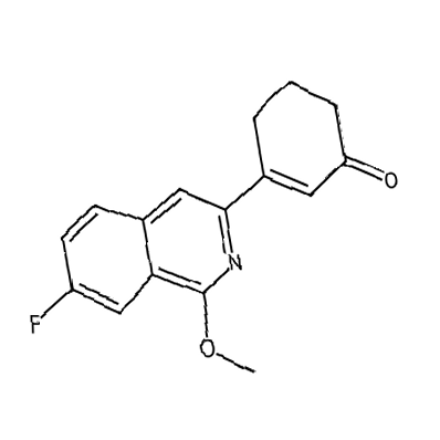 COc1nc(C2=CC(=O)CCC2)cc2ccc(F)cc12